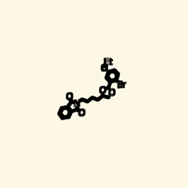 CCOc1ccc(Br)c(C2OCC(CCCCN3C(=O)c4ccccc4C3=O)O2)c1